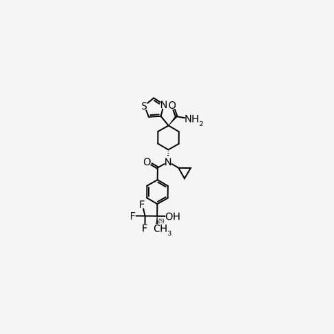 C[C@](O)(c1ccc(C(=O)N(C2CC2)[C@H]2CC[C@@](C(N)=O)(c3cscn3)CC2)cc1)C(F)(F)F